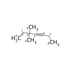 C=CC(C)(C)C#CCC